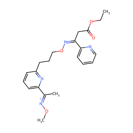 CCOC(=O)CC(=NOCCCc1cccc(/C(C)=N/OC)n1)c1ccccn1